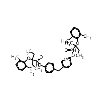 CCC(C)(Oc1c(C)cccc1C)[PH](=O)Oc1ccc(Cc2ccc(O[PH](=O)C(CC)(CC)Oc3c(C)cccc3C)cc2)cc1